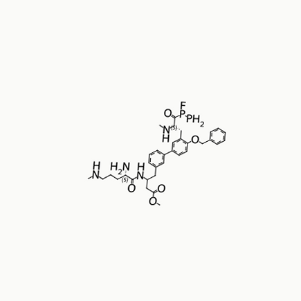 CNCCC[C@H](N)C(=O)NC(CC(=O)OC)Cc1cccc(-c2ccc(OCc3ccccc3)c(C[C@H](NC)C(=O)P(F)P)c2)c1